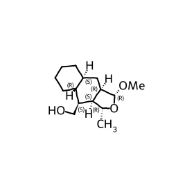 CO[C@@H]1O[C@H](C)[C@@H]2[C@H]1C[C@@H]1CCCC[C@H]1[C@@H]2CO